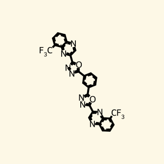 FC(F)(F)c1cccc2ncc(-c3nnc(-c4cccc(-c5nnc(-c6cnc7cccc(C(F)(F)F)c7n6)o5)c4)o3)nc12